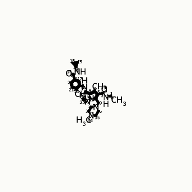 CCNC(=O)c1c(C)c2c(Nc3cc(C(=O)NC4CC4)ccc3C)ncnn2c1CN1CCN(C)CC1